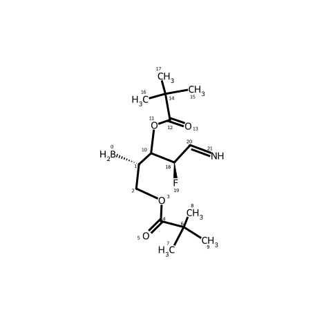 B[C@@H](COC(=O)C(C)(C)C)C(OC(=O)C(C)(C)C)[C@H](F)C=N